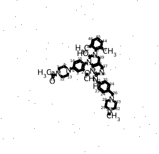 COc1cc(N2CCN(C(C)=O)CC2)ccc1N1c2nc(Nc3ccc(CN4CCN(C)CC4)cc3)ncc2CN(c2c(C)cccc2C)C1O